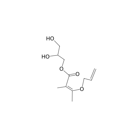 C=CCOC(C)=C(C)C(=O)OCC(O)CO